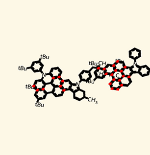 CC1C=Cc2c(n(-c3ccc(CC(C)(C)c4cc(C5=CC=CC6=CC=CC(c7ccccc7N(c7cc(C(C)(C)C)cc(C(C)(C)C)c7)c7ccccc7-c7ccc8c(c7)c7ccccc7n8-c7ccccc7)C65C)cc(C(C)(C)C)c4)cc3)c3cc(-c4cccc(N(c5cc(C(C)(C)C)cc(C(C)(C)C)c5)c5ccccc5-c5cccc6cccc(-c7cc(C(C)(C)C)cc(C(C)(C)C)c7)c56)c4)ccc23)C1